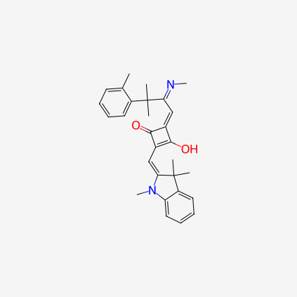 C/N=C(\C=C1/C(=O)C(/C=C2/N(C)c3ccccc3C2(C)C)=C1O)C(C)(C)c1ccccc1C